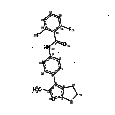 Cc1oc2c(c1-c1ccc(NC(=O)c3c(F)cccc3F)nc1)CCC2